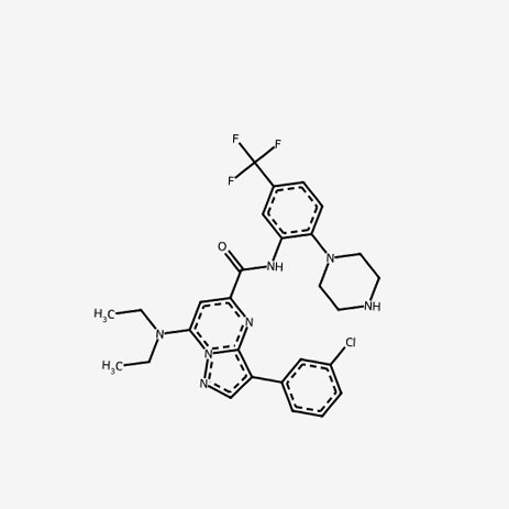 CCN(CC)c1cc(C(=O)Nc2cc(C(F)(F)F)ccc2N2CCNCC2)nc2c(-c3cccc(Cl)c3)cnn12